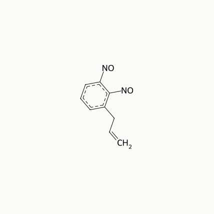 C=CCc1cccc(N=O)c1N=O